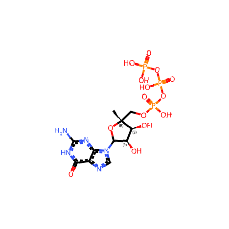 C[C@]1(COP(=O)(O)OP(=O)(O)OP(=O)(O)O)OC(n2cnc3c(=O)[nH]c(N)nc32)[C@H](O)[C@@H]1O